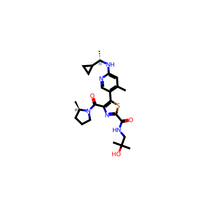 Cc1cc(N[C@@H](C)C2CC2)ncc1-c1sc(C(=O)NCC(C)(C)O)nc1C(=O)N1CCC[C@H]1C